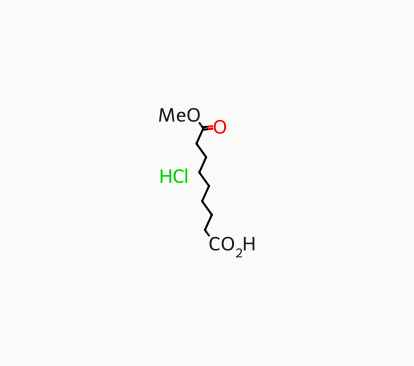 COC(=O)CCCCCCCC(=O)O.Cl